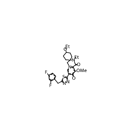 CCOC1CCC2(CC1)Cn1cc(-c3nnc(Cc4ccc(F)cc4F)s3)c(=O)c(OC)c1C(=O)N2CC